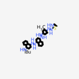 CCC(C)Nc1ccc(NNc2ccc(NNc3ccc(NNc4nccs4)c(C)c3)c3ccccc23)c2ccccc12